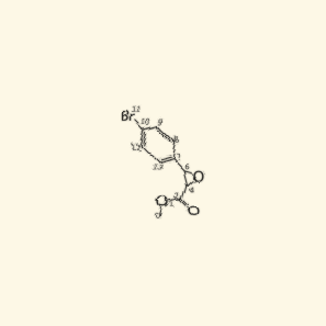 COC(=O)C1OC1c1ccc(Br)cc1